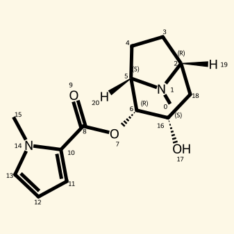 CN1[C@@H]2CC[C@H]1[C@@H](OC(=O)c1cccn1C)[C@@H](O)C2